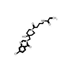 C=CC(=O)NCCCC(=O)N1CCC(O)(Cn2cnc3cc(Cl)ccc3c2=O)CC1